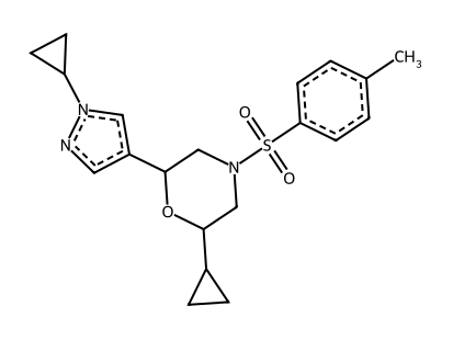 Cc1ccc(S(=O)(=O)N2CC(c3cnn(C4CC4)c3)OC(C3CC3)C2)cc1